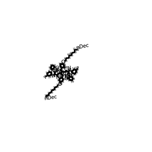 [C-]#[N+]/C(c1cnc2ccc(I)cc2n1)=c1\c2c(-c3ccc(OCCCCCCCCCCCCCCCCCCC)cc3)n(B3Oc4ccccc4O3)/c(=C(/C#N)c3cnc4ccc(I)cc4n3)c2c(-c2ccc(OCCCCCCCCCCCCCCCCCCC)cc2)n1B1Oc2ccccc2O1